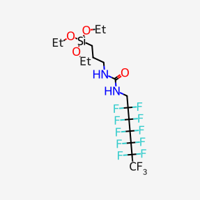 CCO[Si](CCCNC(=O)NCC(F)(F)C(F)(F)C(F)(F)C(F)(F)C(F)(F)C(F)(F)F)(OCC)OCC